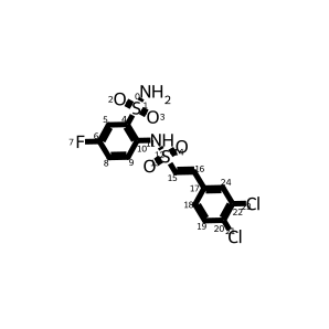 NS(=O)(=O)c1cc(F)ccc1NS(=O)(=O)C=Cc1ccc(Cl)c(Cl)c1